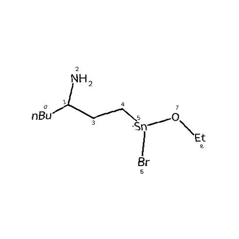 CCCCC(N)C[CH2][Sn]([Br])[O]CC